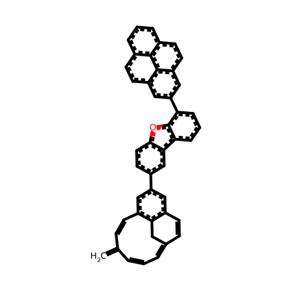 C=C1/C=C\C=C2\C=Cc3cc(-c4ccc5oc6c(-c7cc8ccc9cccc%10ccc(c7)c8c9%10)cccc6c5c4)cc(c3C2)/C=C\1